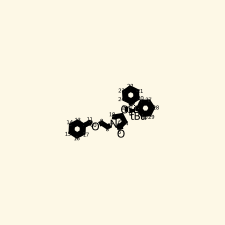 CC(C)(C)[Si](O[C@@H]1CC(=O)N(CCOCc2ccccc2)C1)(c1ccccc1)c1ccccc1